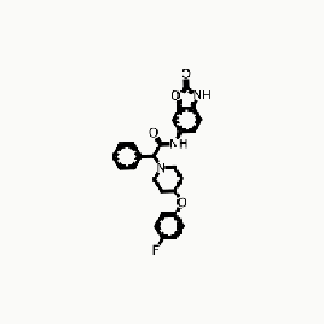 O=C(Nc1ccc2[nH]c(=O)oc2c1)C(c1ccccc1)N1CCC(Oc2ccc(F)cc2)CC1